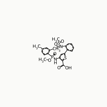 COP(=O)(Nc1cc(-c2ccccc2NS(C)(=O)=O)sc1C(=O)O)c1ccc(C)cc1C